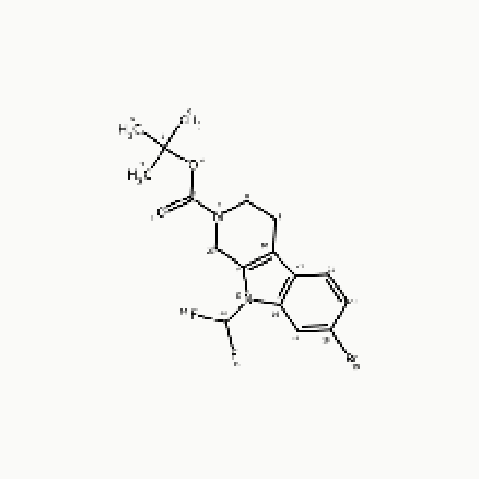 CC(C)(C)OC(=O)N1CCc2c(n(C(F)F)c3cc(Br)ccc23)C1